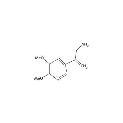 C=C(CN)c1ccc(OC)c(OC)c1